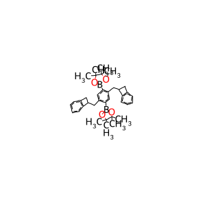 CC1(C)OB(c2cc(CC3Cc4ccccc43)c(B3OC(C)(C)C(C)(C)O3)cc2CC2Cc3ccccc32)OC1(C)C